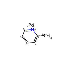 Cc1ccccn1.[Pd]